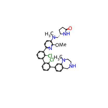 COc1nc(-c2cccc(-c3cccc(-c4ccc5c(c4)N(C)CCNC5)c3Cl)c2Cl)ccc1N(C)C[C@@H]1CCC(=O)N1